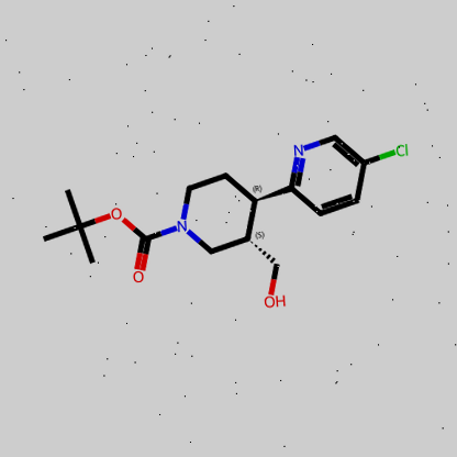 CC(C)(C)OC(=O)N1CC[C@@H](c2ccc(Cl)cn2)[C@H](CO)C1